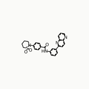 O=C(Nc1cccc(-c2ccc3ncccc3n2)c1)c1ccc(N2CCCCS2(=O)=O)cc1